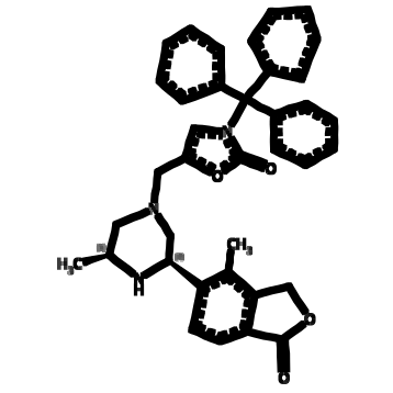 Cc1c([C@@H]2CN(Cc3cn(C(c4ccccc4)(c4ccccc4)c4ccccc4)c(=O)o3)C[C@H](C)N2)ccc2c1COC2=O